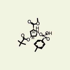 COC(=O)[C@@H]1C[C@@H](OC(=O)C(C)(C)C)CN1.Cc1ccc(S(=O)(=O)O)cc1